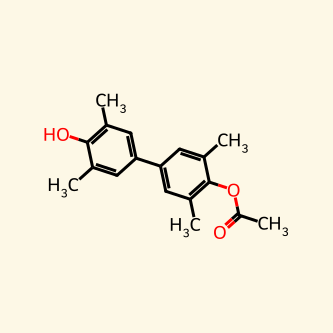 CC(=O)Oc1c(C)cc(-c2cc(C)c(O)c(C)c2)cc1C